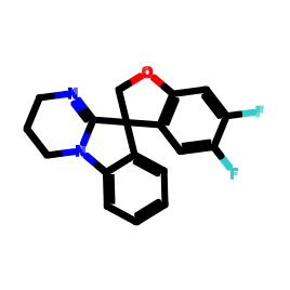 Fc1cc2c(cc1F)C1(CO2)C2=NCCCN2c2ccccc21